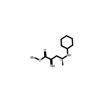 C[C@@H](CC(=N)C(=O)OC(C)(C)C)NC1CCCCC1